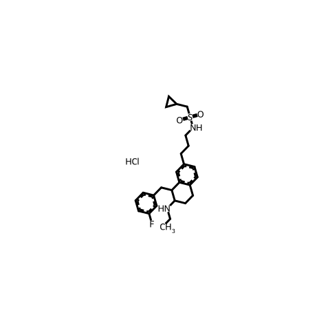 CCNC1CCc2ccc(CCCNS(=O)(=O)CC3CC3)cc2C1Cc1cccc(F)c1.Cl